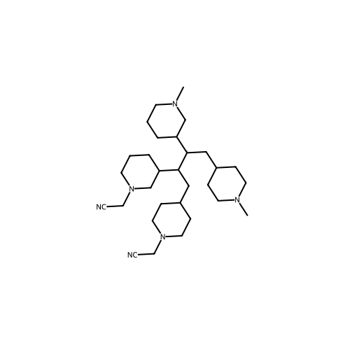 CN1CCC(C[C](C2CCCN(C)C2)C(CC2CCN(CC#N)CC2)C2CCCN(CC#N)C2)CC1